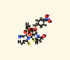 CC(=S)N(CC#N)C1S[C@@H]2CC(=O)N2CC1(OS(C)(=O)=O)C(=O)OCc1ccc([N+](=O)[O-])cc1